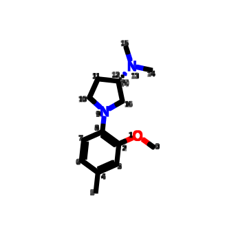 COc1cc(C)ccc1N1CC[C@H](N(C)C)C1